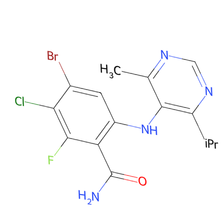 Cc1ncnc(C(C)C)c1Nc1cc(Br)c(Cl)c(F)c1C(N)=O